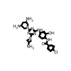 NC1CN(c2nc(Nc3ccc(NC(=O)c4ccc(Cl)cc4)c(O)c3)nc(N3C[C@H](N)C[C@H](N)C3)n2)C1